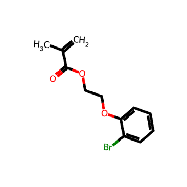 C=C(C)C(=O)OCCOc1ccccc1Br